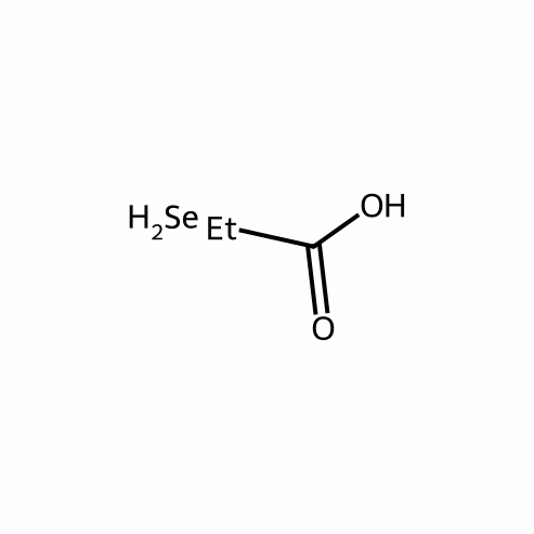 CCC(=O)O.[SeH2]